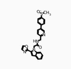 C[S+]([O-])c1ccc(-c2ccc(CNC(=O)Cn3c(-c4ncco4)cc4ccccc43)nc2)cc1